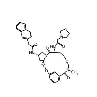 CN1CCCC[C@H](NC(=O)CN2CCCC2)C(=O)N2C[C@@H](NC(=O)Cc3ccc4ccccc4c3)C[C@H]2COc2cccc(c2)C1=O